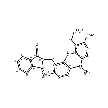 COc1ccc2c(c1CC(=O)O)Oc1c(ccc(OC)c1CN1C(=O)c3ccccc3C1=O)N2C